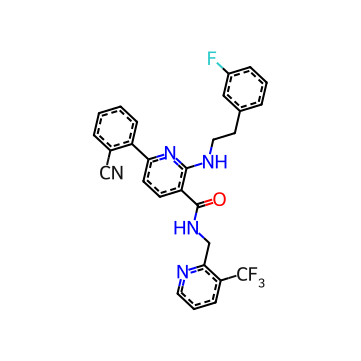 N#Cc1ccccc1-c1ccc(C(=O)NCc2ncccc2C(F)(F)F)c(NCCc2cccc(F)c2)n1